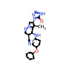 Cc1c(-n2nn[nH]c2=O)cn2ncc(C#N)c(Nc3ccc(Oc4ccccc4)cc3)c12